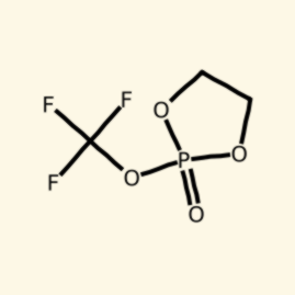 O=P1(OC(F)(F)F)OCCO1